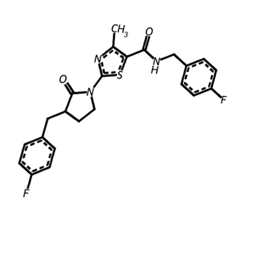 Cc1nc(N2CCC(Cc3ccc(F)cc3)C2=O)sc1C(=O)NCc1ccc(F)cc1